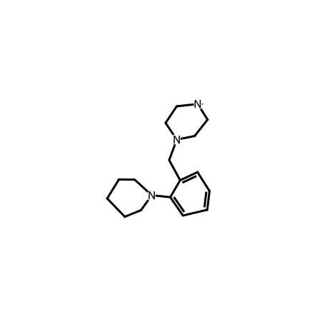 c1ccc(N2CCCCC2)c(CN2CC[N]CC2)c1